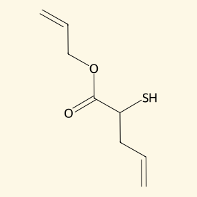 C=CCOC(=O)C(S)CC=C